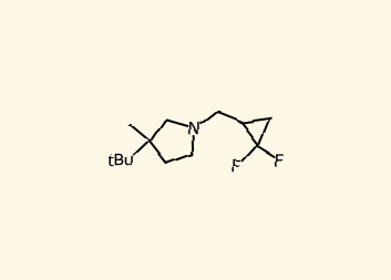 CC(C)(C)C1(C)CCN(CC2CC2(F)F)C1